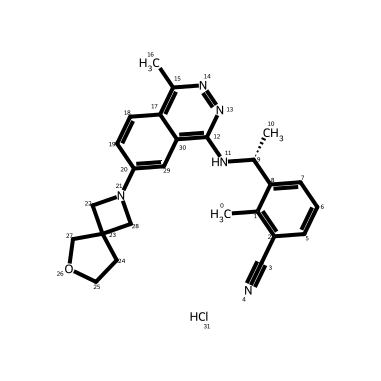 Cc1c(C#N)cccc1[C@@H](C)Nc1nnc(C)c2ccc(N3CC4(CCOC4)C3)cc12.Cl